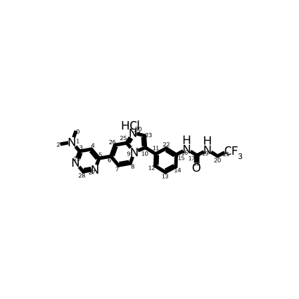 CN(C)c1cc(-c2ccn3c(-c4cccc(NC(=O)NCC(F)(F)F)c4)cnc3c2)ncn1.Cl